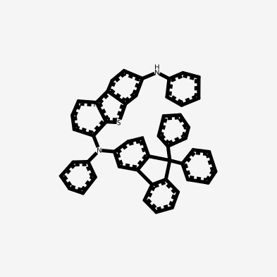 c1ccc(Nc2ccc3c(c2)sc2c(N(c4ccccc4)c4ccc5c(c4)-c4ccccc4C5(c4ccccc4)c4ccccc4)cccc23)cc1